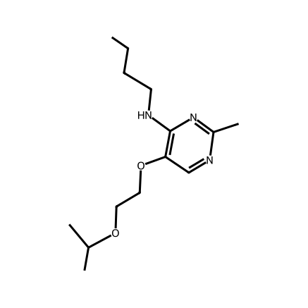 CCCCNc1nc(C)ncc1OCCOC(C)C